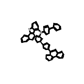 c1ccc(-c2ccc(N(c3cccc(-c4ccc(-c5cc6ccccc6c6ccccc56)cc4)c3)c3cccc4sc5c6ccccc6ccc5c34)cc2)cc1